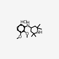 COc1cccc(NC2CC(C)(C)NC(C)(C)C2)c1OC.Cl